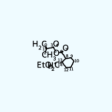 C=C(C)C(=O)OC(=O)C1CCCCC1C(=O)OCC.[H+]